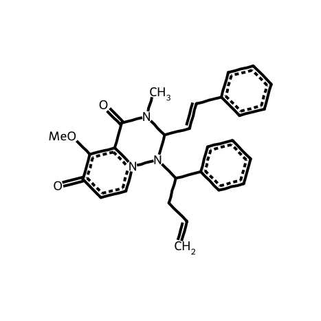 C=CCC(c1ccccc1)N1C(/C=C/c2ccccc2)N(C)C(=O)c2c(OC)c(=O)ccn21